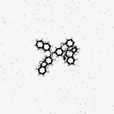 c1ccc2c(c1)Oc1cc(N(c3ccc4ccccc4c3)c3ccc4c(c3)oc3ccccc34)ccc1C21c2ccccc2-c2cccc3cccc1c23